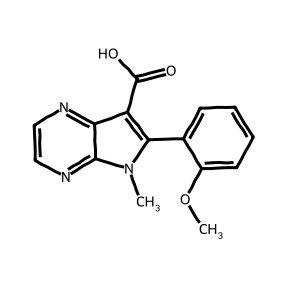 COc1ccccc1-c1c(C(=O)O)c2nccnc2n1C